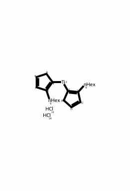 CCCCCCC1=[C]([Ti][C]2=C(CCCCCC)C=CC2)CC=C1.Cl.Cl